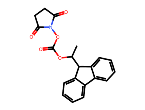 CC(OC(=O)ON1C(=O)CCC1=O)C1c2ccccc2-c2ccccc21